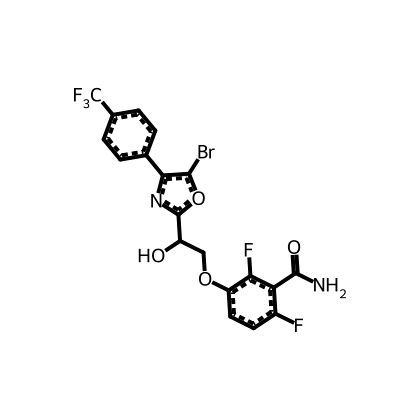 NC(=O)c1c(F)ccc(OCC(O)c2nc(-c3ccc(C(F)(F)F)cc3)c(Br)o2)c1F